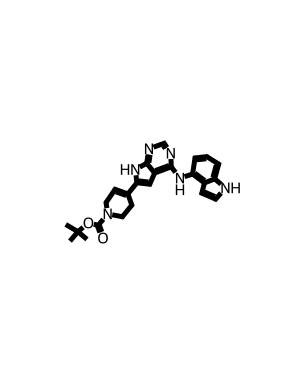 CC(C)(C)OC(=O)N1CC=C(c2cc3c(Nc4cccc5[nH]ccc45)ncnc3[nH]2)CC1